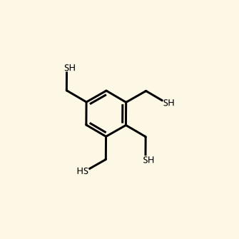 SCc1cc(CS)c(CS)c(CS)c1